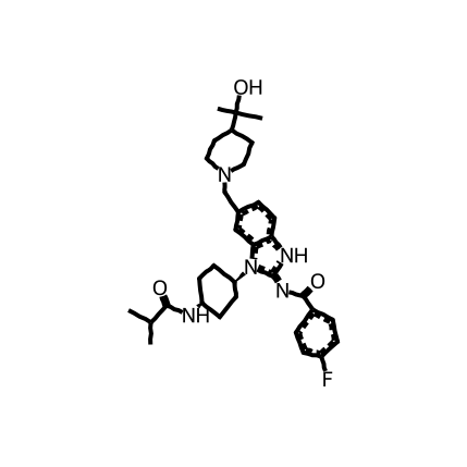 CC(C)C(=O)N[C@H]1CC[C@@H](n2/c(=N/C(=O)c3ccc(F)cc3)[nH]c3ccc(CN4CCC(C(C)(C)O)CC4)cc32)CC1